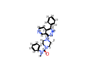 C[C@@H]1CN(C(=O)N(C)c2ccccc2)CCN1c1nnc(-c2ccccc2)c2ccncc12